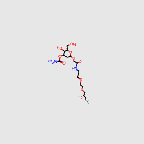 CCC(O)COCCOCCNC(=O)COC1CC(OC(N)=O)C(O)C(CO)O1